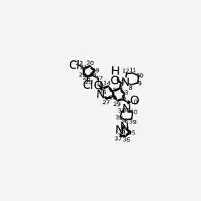 O=C(c1cc(C(O)N2CCCCC2)c2cc(OCc3ccc(Cl)cc3Cl)ncc2c1)N1CCC(n2cccn2)CC1